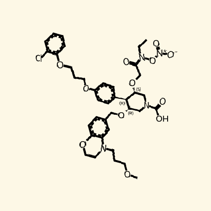 CCN(O[N+](=O)[O-])C(=O)CO[C@@H]1CN(C(=O)O)C[C@H](OCc2ccc3c(c2)N(CCCOC)CCO3)[C@H]1c1ccc(OCCCOc2ccccc2Cl)cc1